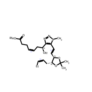 CC/C=C\C[C@H]1OC(C)(C)O[C@@H]1/C=C/c1c([C@@H](O)C/C=C\CCC(=O)OC)nnn1C